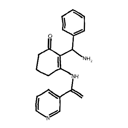 C=C(NC1=C(C(N)c2ccccc2)C(=O)CCC1)c1cccnc1